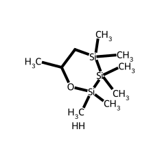 CC1C[Si](C)(C)[Si](C)(C)[Si](C)(C)O1.[HH]